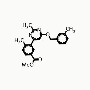 COC(=O)c1ccc(C)c(-c2cc(OCc3cccc(C)c3)nc(C)n2)c1